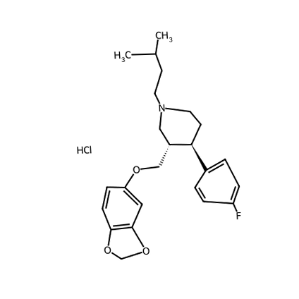 CC(C)CCN1CC[C@@H](c2ccc(F)cc2)[C@H](COc2ccc3c(c2)OCO3)C1.Cl